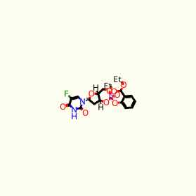 CCOC(OCC)c1ccccc1OP1(=O)OC[C@H]2O[C@@H](n3cc(F)c(=O)[nH]c3=O)C[C@@H]2O1